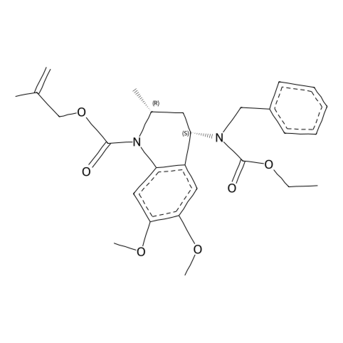 C=C(C)COC(=O)N1c2cc(OC)c(OC)cc2[C@@H](N(Cc2ccccc2)C(=O)OCC)C[C@H]1C